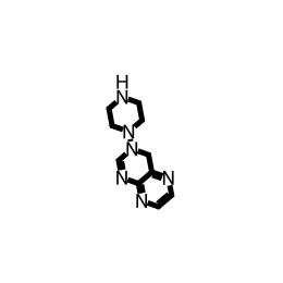 C1=Nc2nccnc2CN1N1CCNCC1